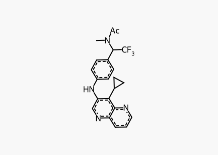 CC(=O)N(C)C(c1ccc(Nc2cnc3cccnc3c2C2CC2)cc1)C(F)(F)F